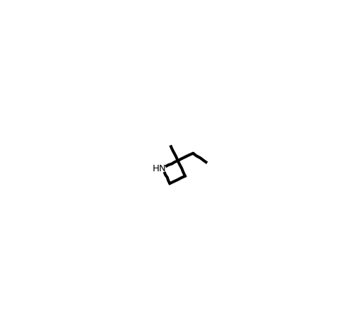 CCC1(C)CCN1